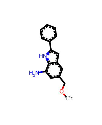 CC(C)OCc1cc(N)c2[nH]c(-c3ccccc3)cc2c1